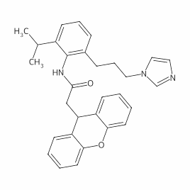 CC(C)c1cccc(CCCn2ccnc2)c1NC(=O)CC1c2ccccc2Oc2ccccc21